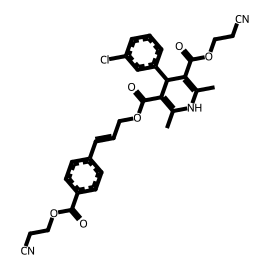 CC1=C(C(=O)OC/C=C/c2ccc(C(=O)OCCC#N)cc2)C(c2cccc(Cl)c2)C(C(=O)OCCC#N)=C(C)N1